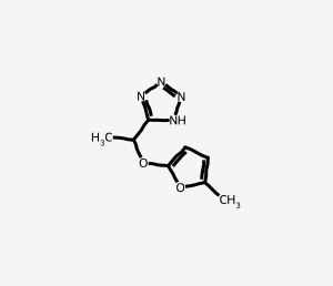 Cc1ccc(OC(C)c2nnn[nH]2)o1